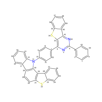 c1ccc(-c2nc(-c3ccc(-n4c5ccccc5c5ccc6sc7ccccc7c6c54)cc3)c3sc4ccccc4c3n2)cc1